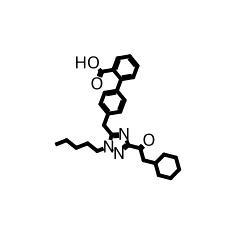 CCCCCn1nc(C(=O)CC2CCCCC2)nc1Cc1ccc(-c2ccccc2C(=O)O)cc1